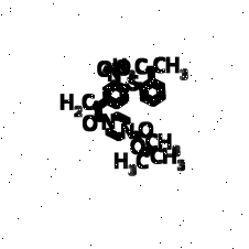 C=C(C(=O)N1CCN(C(=O)OC(C)(C)C)CC1)c1ccc(Sc2ccccc2C(C)C)c([N+](=O)[O-])c1